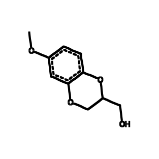 COc1ccc2c(c1)OCC(CO)O2